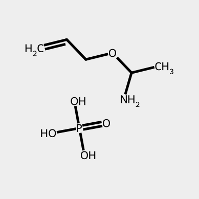 C=CCOC(C)N.O=P(O)(O)O